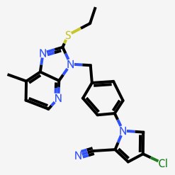 CCSc1nc2c(C)ccnc2n1Cc1ccc(-n2cc(Cl)cc2C#N)cc1